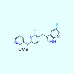 COc1ncccc1[CH]c1ccc(Cc2c[nH]c3ncc(F)cc23)c(F)n1